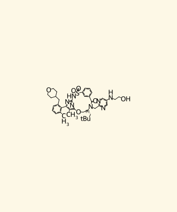 Cc1cccc(CC2CCOCC2)c1-c1nc2nc(c1C)OC[C@@H](CC(C)(C)C)N(Cc1ncc(NCCO)cn1)C(=O)c1cccc(c1)S(=O)(=O)N2